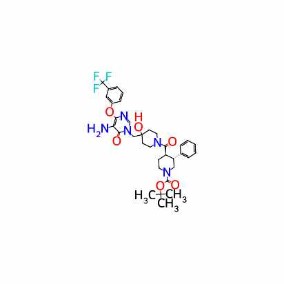 CC(C)(C)OC(=O)N1CC[C@@H](C(=O)N2CCC(O)(Cn3cnc(Oc4cccc(C(F)(F)F)c4)c(N)c3=O)CC2)[C@H](c2ccccc2)C1